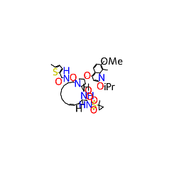 COc1ccc2c(O[C@@H]3C[C@H]4C(=O)N[C@]5(C(=O)NS(=O)(=O)C6(C)CC6)C[C@H]5/C=C\CCCCC[C@H](NC(=O)c5ccc(C)s5)C(=O)N4C3)cc(OC(C)C)nc2c1C